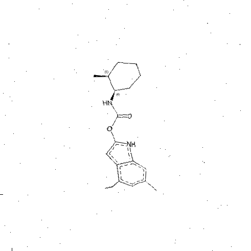 Cc1cc(C)c2cc(OC(=O)N[C@@H]3CCCC[C@@H]3C)[nH]c2c1